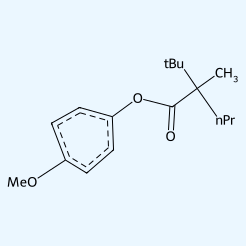 CCCC(C)(C(=O)Oc1ccc(OC)cc1)C(C)(C)C